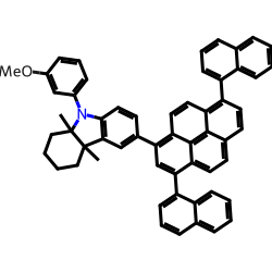 COc1cccc(N2c3ccc(-c4cc(-c5cccc6ccccc56)c5ccc6ccc(-c7cccc8ccccc78)c7ccc4c5c67)cc3C3(C)CCCCC23C)c1